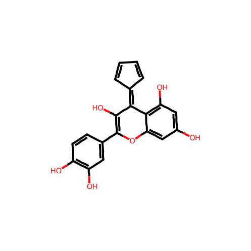 OC1=C(c2ccc(O)c(O)c2)Oc2cc(O)cc(O)c2C1=C1C=CC=C1